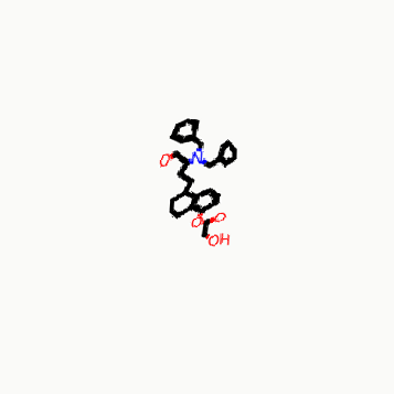 O=CC(CCC1CCCc2c(OC(=O)CO)cccc21)N(Cc1ccccc1)Cc1ccccc1